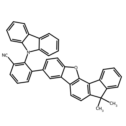 CC1(C)c2ccccc2-c2c1ccc1c2oc2ccc(-c3cccc(C#N)c3-n3c4ccccc4c4ccccc43)cc21